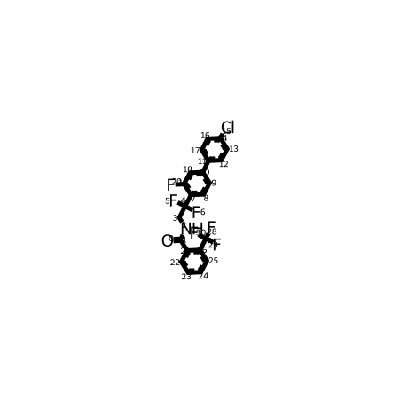 O=C(NCC(F)(F)c1ccc(-c2ccc(Cl)cc2)cc1F)c1ccccc1C(F)(F)F